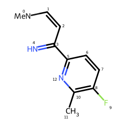 CN/C=C\C(=N)c1ccc(F)c(C)n1